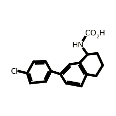 O=C(O)NC1CCCc2ccc(-c3ccc(Cl)cc3)cc21